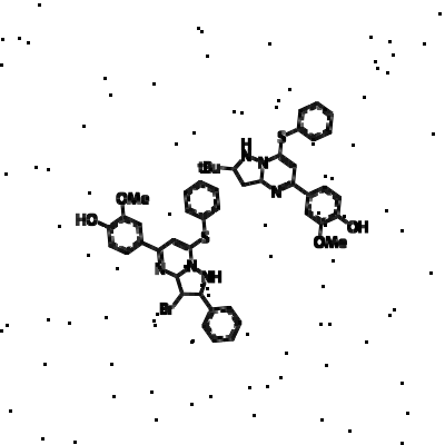 COc1cc(C2=NC3C(Br)C(c4ccccc4)NN3C(Sc3ccccc3)=C2)ccc1O.COc1cc(C2=NC3CC(C(C)(C)C)NN3C(Sc3ccccc3)=C2)ccc1O